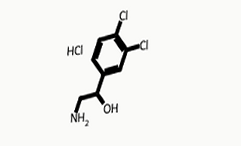 Cl.NCC(O)c1ccc(Cl)c(Cl)c1